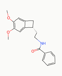 COc1cc2c(cc1OC)[C@@H](CCNC(=O)c1ccccc1)C2